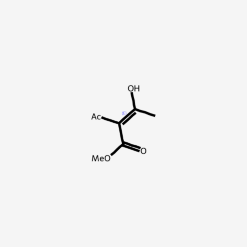 COC(=O)/C(C(C)=O)=C(\C)O